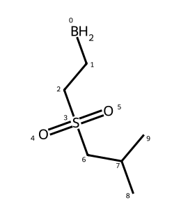 BCCS(=O)(=O)CC(C)C